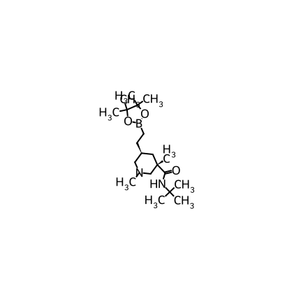 CN1C[C@@H](CCB2OC(C)(C)C(C)(C)O2)C[C@](C)(C(=O)NC(C)(C)C)C1